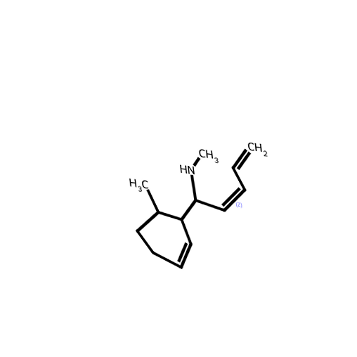 C=C/C=C\C(NC)C1C=CCCC1C